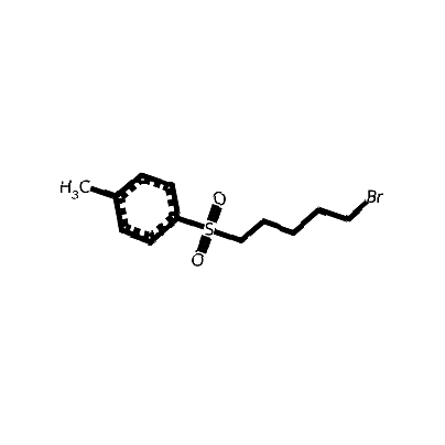 Cc1ccc(S(=O)(=O)CCCCCBr)cc1